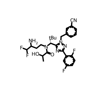 CC(O)C(=O)N(CCC(N)C(F)F)[C@@H](c1nc(-c2cc(F)ccc2F)nn1Cc1cccc(C#N)c1)C(C)(C)C